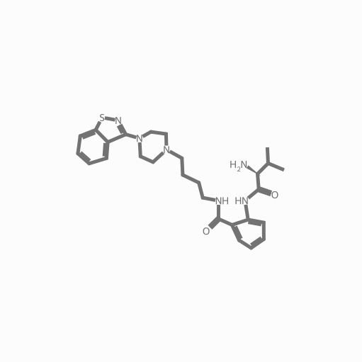 CC(C)[C@H](N)C(=O)Nc1ccccc1C(=O)NCCCCN1CCN(c2nsc3ccccc23)CC1